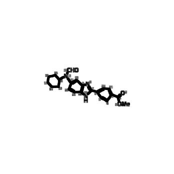 COC(=O)c1ccc(-c2nc3cc(N(C=O)C4CCCCC4)ccc3[nH]2)cc1